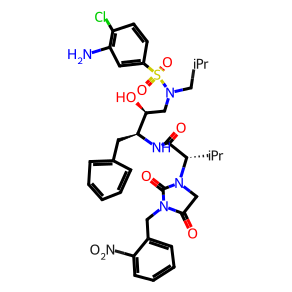 CC(C)CN(C[C@H](O)[C@H](Cc1ccccc1)NC(=O)[C@H](C(C)C)N1CC(=O)N(Cc2ccccc2[N+](=O)[O-])C1=O)S(=O)(=O)c1ccc(Cl)c(N)c1